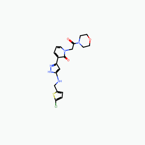 O=C(Cn1cccc(-c2cc(NCc3ccc(Cl)s3)[nH]n2)c1=O)N1CCOCC1